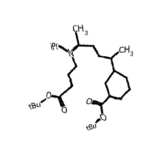 CC(CCC(C)N(CCCC(=O)OC(C)(C)C)C(C)C)C1CCCC(C(=O)OC(C)(C)C)C1